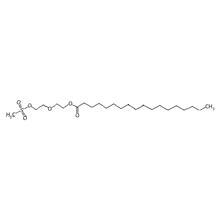 CCCCCCCCCCCCCCCCCC(=O)OCCOCCOS(C)(=O)=O